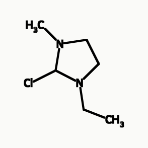 CCN1CCN(C)C1Cl